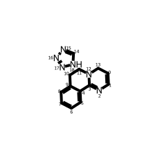 C1=CN=C2c3ccccc3CCN2C1.c1nnn[nH]1